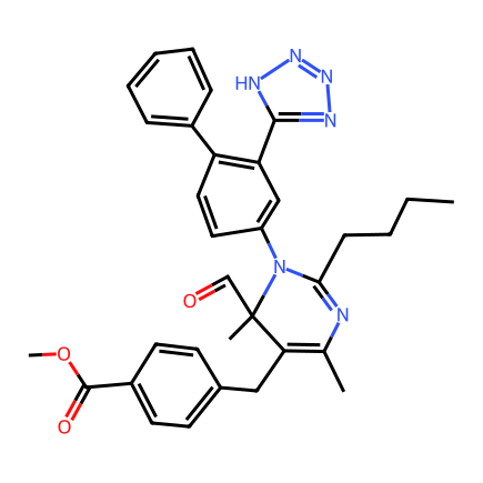 CCCCC1=NC(C)=C(Cc2ccc(C(=O)OC)cc2)C(C)(C=O)N1c1ccc(-c2ccccc2)c(-c2nnn[nH]2)c1